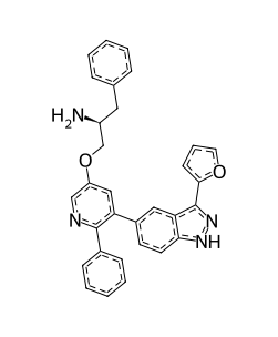 N[C@H](COc1cnc(-c2ccccc2)c(-c2ccc3[nH]nc(-c4ccco4)c3c2)c1)Cc1ccccc1